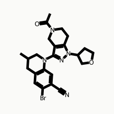 CC(=O)N1CCc2c(c(N3CC(C)Cc4cc(Br)c(C#N)cc43)nn2C2CCOC2)C1